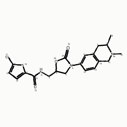 CC1Cc2cc(N3CC(CNC(=O)c4ccc(Cl)s4)OC3=O)ccc2CN1C